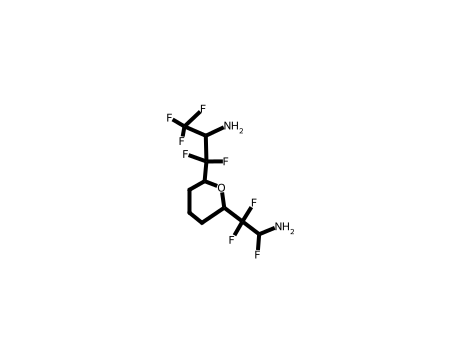 NC(F)C(F)(F)C1CCCC(C(F)(F)C(N)C(F)(F)F)O1